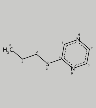 CCCSc1cnccn1